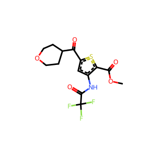 COC(=O)c1sc(C(=O)C2CCOCC2)cc1NC(=O)C(F)(F)F